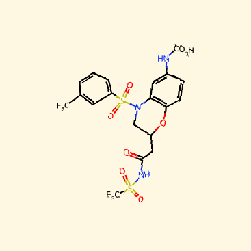 O=C(O)Nc1ccc2c(c1)N(S(=O)(=O)c1cccc(C(F)(F)F)c1)CC(CC(=O)NS(=O)(=O)C(F)(F)F)O2